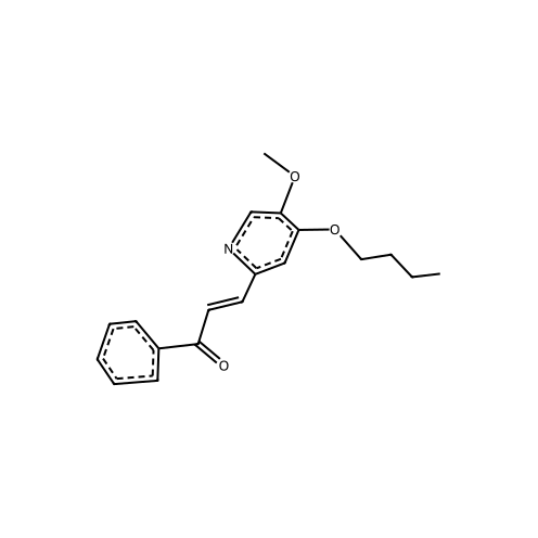 CCCCOc1cc(C=CC(=O)c2ccccc2)ncc1OC